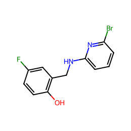 Oc1ccc(F)cc1CNc1cccc(Br)n1